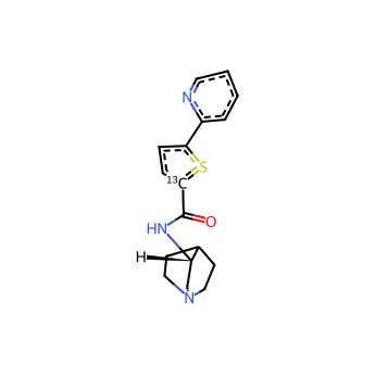 O=C(N[C@H]1CN2CCC1CC2)[13c]1ccc(-c2ccccn2)s1